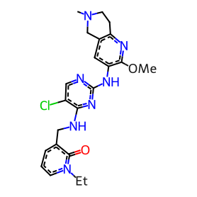 CCn1cccc(CNc2nc(Nc3cc4c(nc3OC)CCN(C)C4)ncc2Cl)c1=O